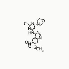 COc1cc2ncnc(Nc3cc(N4CCOCC4)nc(Cl)n3)c2cc1[N+](=O)[O-]